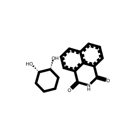 O=C1NC(=O)c2cccc3cccc1c23.O[C@@H]1CCCC[C@@H]1O